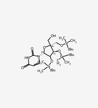 CC(C)(C)[Si](C)(C)OC[C@@]1(CO)O[C@@H](n2ccc(=O)[nH]c2=O)C(O[Si](C)(C)C(C)(C)C)[C@@H]1O[Si](C)(C)C(C)(C)C